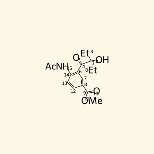 CCC(O)(CC)C(=O)c1cc(C(=O)OC)ccc1NC(C)=O